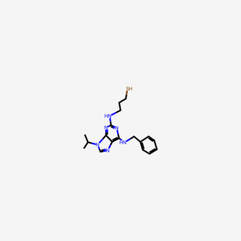 CC(C)n1cnc2c(NCc3ccccc3)nc(NCCCS)nc21